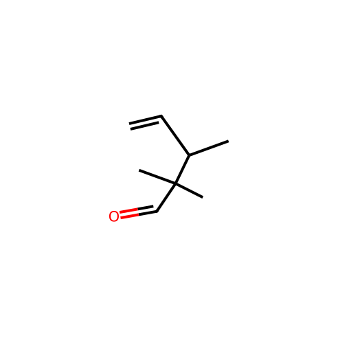 C=CC(C)C(C)(C)C=O